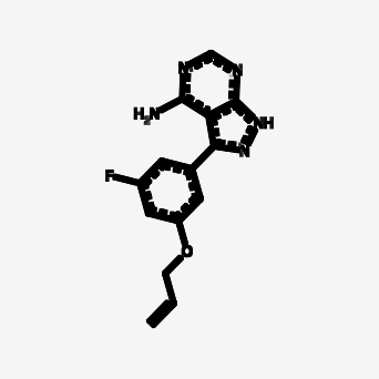 C=CCOc1cc(F)cc(-c2n[nH]c3ncnc(N)c23)c1